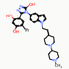 CC(C)c1cc(-c2nnc(O)n2-c2ccc3c(ccn3CCC3CCN(C4CCN(C)CC4)CC3)c2)c(O)cc1O